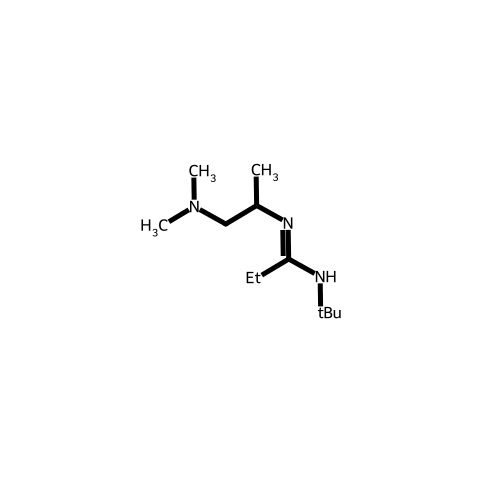 CC/C(=N\C(C)CN(C)C)NC(C)(C)C